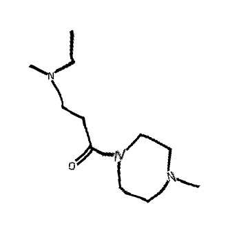 CCN(C)CCC(=O)N1CCN(C)CC1